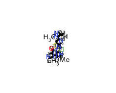 [2H]C([2H])([2H])c1cnn(C)c1-c1cc2sc(NC(=O)c3cnc(C)cc3-c3cc(Cl)ncc3OC)nc2cn1